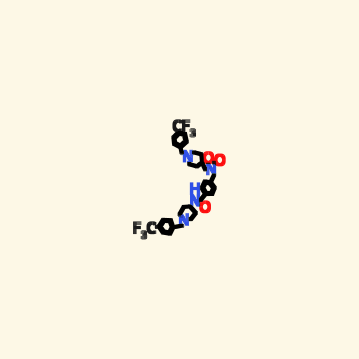 O=C(NC1CCN(Cc2ccc(C(F)(F)F)cc2)CC1)c1ccc(CN2CC3(CCN(Cc4ccc(C(F)(F)F)cc4)CC3)OC2=O)cc1